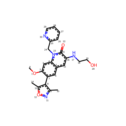 COc1cc2c(cc1-c1c(C)noc1C)cc(NCCO)c(=O)n2Cc1ccccn1